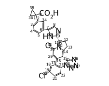 O=C(O)C1(c2cccc(-c3cnc([C@@H]4CCc5cc(-c6cc(Cl)ccc6-n6cnnn6)cc(=O)n54)[nH]3)c2)CC1